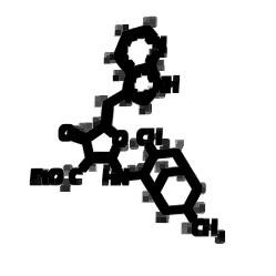 CCOC(=O)C1=C(NC2C(C)CC3CC(C)CC2C3)O/C(=C\c2c[nH]c3ncccc23)C1=O